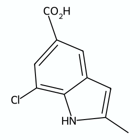 Cc1cc2cc(C(=O)O)cc(Cl)c2[nH]1